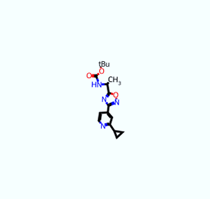 CC(NC(=O)OC(C)(C)C)c1nc(-c2ccnc(C3CC3)c2)no1